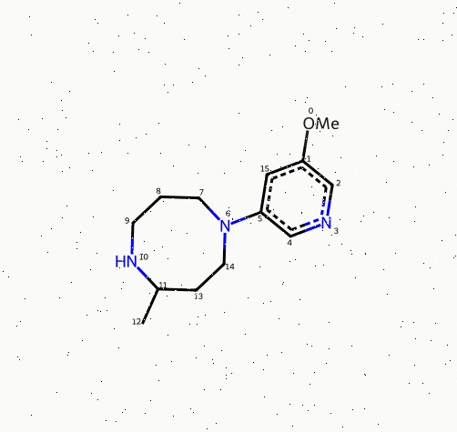 COc1cncc(N2CCCNC(C)CC2)c1